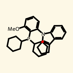 COc1cccc(-n2c3c(c4ccccc42)CCC3)c1P(C1CCCCC1)C1CCCCC1